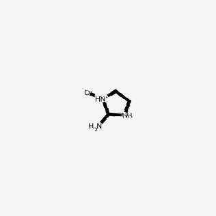 NC1NCC[NH+]1[O-]